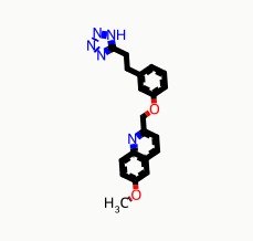 COc1ccc2nc(COc3cccc(CCc4nnn[nH]4)c3)ccc2c1